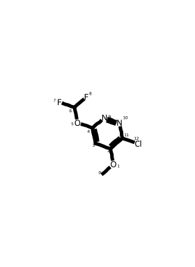 COc1cc(OC(F)F)nnc1Cl